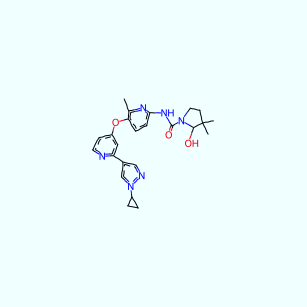 Cc1nc(NC(=O)N2CCC(C)(C)C2O)ccc1Oc1ccnc(-c2cnn(C3CC3)c2)c1